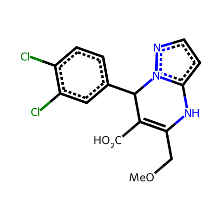 COCC1=C(C(=O)O)C(c2ccc(Cl)c(Cl)c2)n2nccc2N1